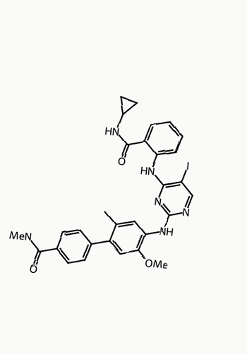 CNC(=O)c1ccc(-c2cc(OC)c(Nc3ncc(I)c(Nc4ccccc4C(=O)NC4CC4)n3)cc2C)cc1